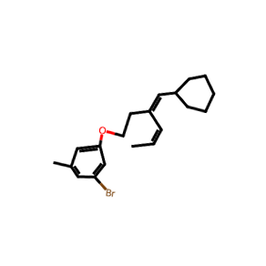 C/C=C\C(=C/C1CCCCC1)CCOc1cc(C)cc(Br)c1